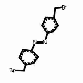 BrCc1ccc(/N=N/c2ccc(CBr)cc2)cc1